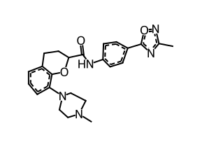 Cc1noc(-c2ccc(NC(=O)C3CCc4cccc(N5CCN(C)CC5)c4O3)cc2)n1